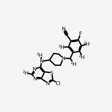 [2H]c1nc(N([2H])C2CCN(C([2H])c3c([2H])c([2H])c(F)c(C#N)c3[2H])CC2)c2sc(Cl)nc2n1